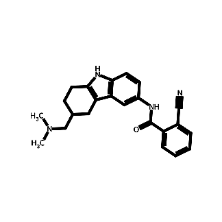 CN(C)CC1CCc2[nH]c3ccc(NC(=O)c4ccccc4C#N)cc3c2C1